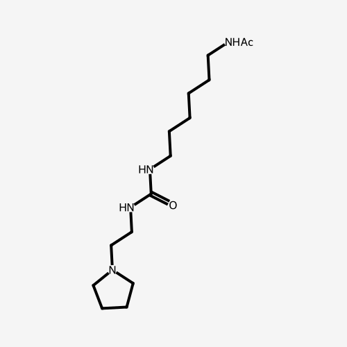 CC(=O)NCCCCCCNC(=O)NCCN1CCCC1